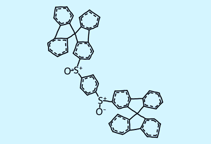 [O-][S+](c1ccc([S+]([O-])c2ccc3c(c2)C2(c4ccccc4-c4ccccc42)c2ccccc2-3)cc1)c1ccc2c(c1)C1(c3ccccc3-c3ccccc31)c1ccccc1-2